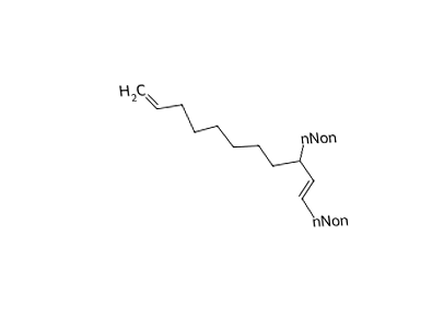 C=CCCCCCCC(C=CCCCCCCC[CH]C)CCCCCCCCC